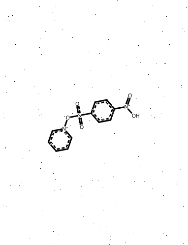 O=[N+](O)c1ccc(S(=O)(=O)O[n+]2ccccc2)cc1